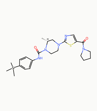 C[C@@H]1CN(c2ncc(C(=O)N3CCCC3)s2)CCN1C(=O)Nc1ccc([Si](C)(C)C)cc1